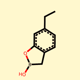 CCc1ccc2c(c1)OB(O)C2